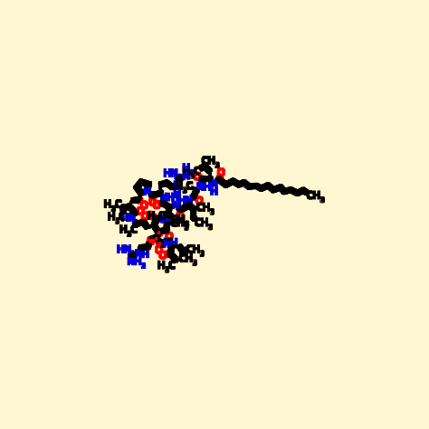 CCCCCCCCCCCCCCCC(=O)N[C@@H](CC(C)C)C(=O)N[C@@H](C)C(=O)N[C@H](C(=O)N[C@H](C(=O)N[C@@H](CCCNC(=N)N)C(=O)N1CCC[C@H]1C(=O)C[C@H](C(=O)N[C@@H](C)C(=O)C[C@@H](CC(N)=O)C(=O)N[C@@H](C)C(=O)C[C@@H](CCCNC(=N)N)C(=O)N[C@@H](CC(C)C)C(=O)CC)C(C)C)C(C)C)[C@@H](C)CC